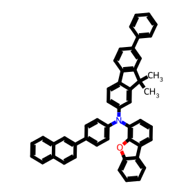 CC1(C)c2cc(-c3ccccc3)ccc2-c2ccc(N(c3ccc(-c4ccc5ccccc5c4)cc3)c3cccc4c3oc3ccccc34)cc21